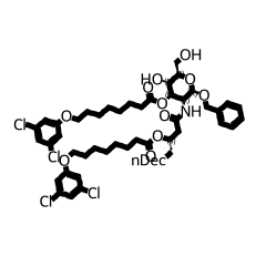 CCCCCCCCCCC[C@@H](CC(=O)N[C@H]1[C@H](OCc2ccccc2)O[C@H](CO)[C@@H](O)[C@@H]1OC(=O)CCCCCCCOc1cc(Cl)cc(Cl)c1)OC(=O)CCCCCCCOc1cc(Cl)cc(Cl)c1